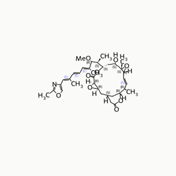 CO[C@@H](/C(C)=C/C=C/C(C)=C/c1coc(C)n1)[C@@H](C)[C@@H]1C[C@H](O)[C@]2(C)O[C@@H]2/C=C/[C@@H](C)[C@H]2C[C@H](CC(=O)O2)C[C@H]2O[C@H]2C(=O)O1